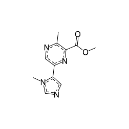 COC(=O)c1nc(-c2cncn2C)cnc1C